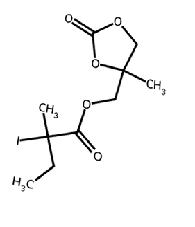 CCC(C)(I)C(=O)OCC1(C)COC(=O)O1